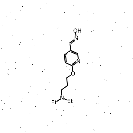 CCN(CC)CCCOc1ccc(C=NO)cn1